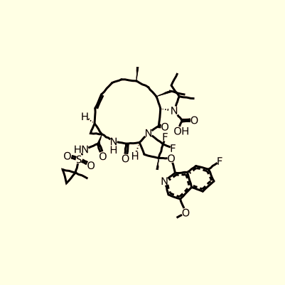 CCC(C)N(C(=O)O)[C@@H]1C(=O)N2[C@@H](C[C@@](C)(Oc3ncc(OC)c4ccc(F)cc34)C2(F)F)C(=O)N[C@]2(C(=O)NS(=O)(=O)C3(C)CC3)C[C@H]2/C=C\CC[C@@H](C)C[C@H]1CC